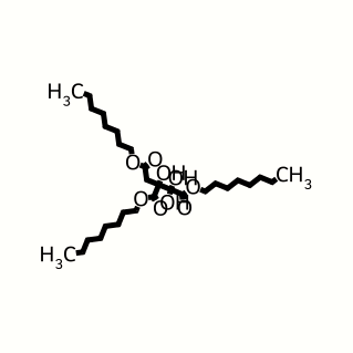 CCCCCCCCOC(=O)CC(O)(C(=O)OCCCCCCCC)C(O)(O)C(=O)OCCCCCCCC